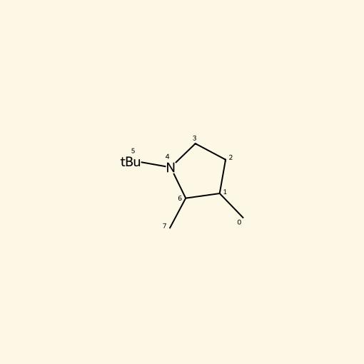 CC1CCN(C(C)(C)C)C1C